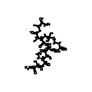 CCCC(=O)N(C)CC(=O)N(C)[C@@H](CC(C)(C)OCCN(CC)CC)C(=O)N[C@H](C(=O)N(C)[C@@H](CC(C)C)C(=O)N[C@H](C)C(N)=O)C(C)C